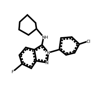 Fc1ccc2c(NC3CCCCC3)n(-c3ccc(Cl)cc3)nc2c1